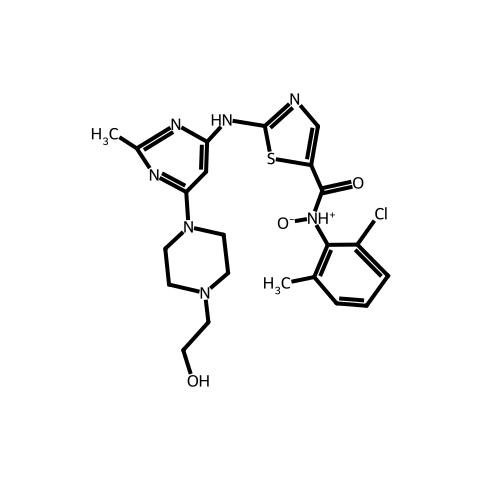 Cc1nc(Nc2ncc(C(=O)[NH+]([O-])c3c(C)cccc3Cl)s2)cc(N2CCN(CCO)CC2)n1